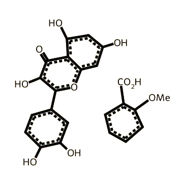 COc1ccccc1C(=O)O.O=c1c(O)c(-c2ccc(O)c(O)c2)oc2cc(O)cc(O)c12